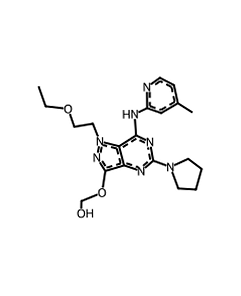 CCOCCn1nc(OCO)c2nc(N3CCCC3)nc(Nc3cc(C)ccn3)c21